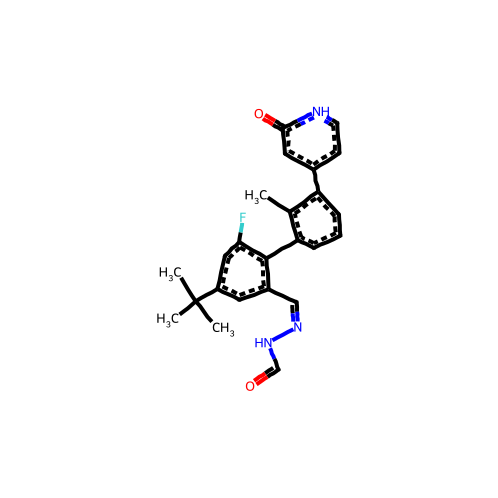 Cc1c(-c2cc[nH]c(=O)c2)cccc1-c1c(F)cc(C(C)(C)C)cc1/C=N\NC=O